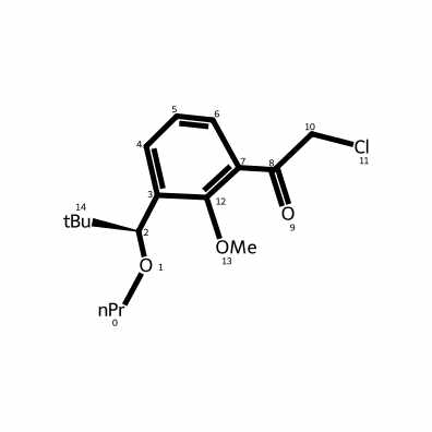 CCCO[C@H](c1cccc(C(=O)CCl)c1OC)C(C)(C)C